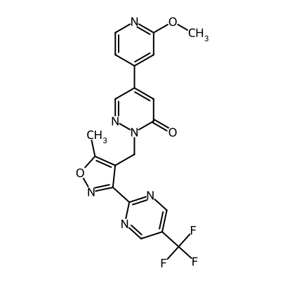 COc1cc(-c2cnn(Cc3c(-c4ncc(C(F)(F)F)cn4)noc3C)c(=O)c2)ccn1